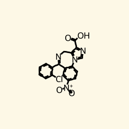 O=C(O)c1ncn2c1CN=C(c1ccccc1Cl)c1cc([N+](=O)[O-])ccc1-2